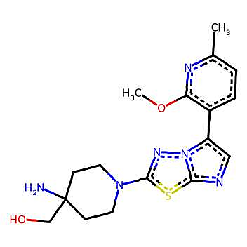 COc1nc(C)ccc1-c1cnc2sc(N3CCC(N)(CO)CC3)nn12